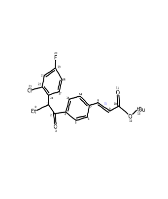 CCC(C(=O)c1ccc(/C=C/C(=O)OC(C)(C)C)cc1)c1ccc(F)cc1Cl